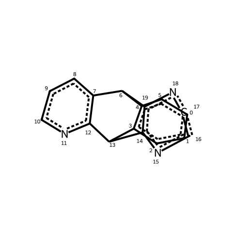 c1ccc2c(c1)C1c3cccnc3C2c2nccnc21